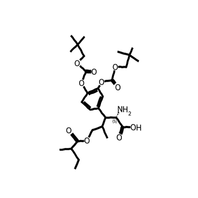 CCC(C)C(=O)OCC(C)C(c1ccc(OC(=O)OCC(C)(C)C)c(OC(=O)OCC(C)(C)C)c1)[C@H](N)C(=O)O